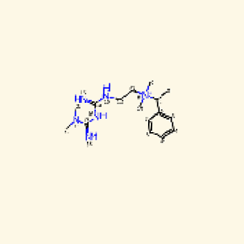 CC(c1ccccc1)[N+](C)(C)CCNC(=N)NC(=N)N(C)C